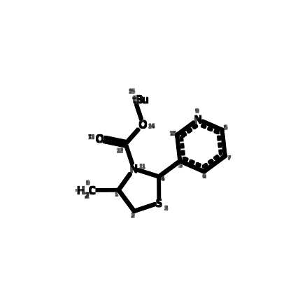 [CH2]C1CSC(c2cccnc2)N1C(=O)OC(C)(C)C